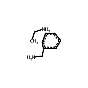 CCN.NCc1ccccc1